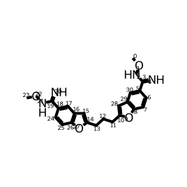 CONC(=N)c1ccc2oc(CCCc3cc4cc(C(=N)NOC)ccc4o3)cc2c1